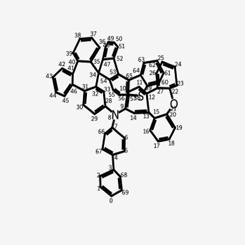 c1ccc(-c2ccc(N(c3ccc4c(c3)-c3ccccc3Oc3ccccc3-4)c3ccc4c(c3)C3(c5ccccc5-c5ccccc5-4)c4ccccc4-c4c3ccc3sc5ccccc5c43)cc2)cc1